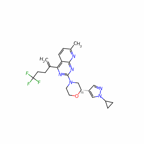 C=C(CCC(F)(F)F)c1nc(N2CCO[C@@H](c3cnn(C4CC4)c3)C2)nc2nc(C)ccc12